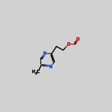 Cc1cnc(CCOC=O)cn1